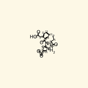 CCCC(N)=O.O=C(O)Cc1ccccc1C(=O)Nc1ncc([N+](=O)[O-])s1